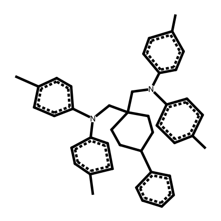 Cc1ccc(N(CC2(CN(c3ccc(C)cc3)c3ccc(C)cc3)CCC(c3ccccc3)CC2)c2ccc(C)cc2)cc1